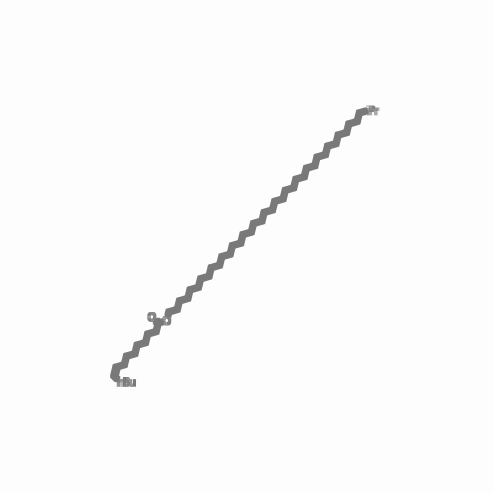 CCCC/C=C\CCCCCCCC(=O)OCCCCCCCCCCCCCCCCCCCCCCCCCCCCCCCCCCCCCC(C)C